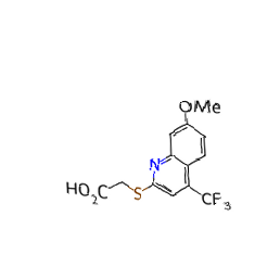 COc1ccc2c(C(F)(F)F)cc(SCC(=O)O)nc2c1